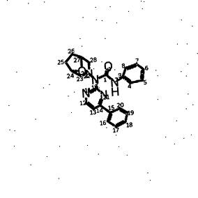 O=C(Nc1ccccc1)N(c1nccc(-c2ccccc2)n1)N1CC2CCC(C1)O2